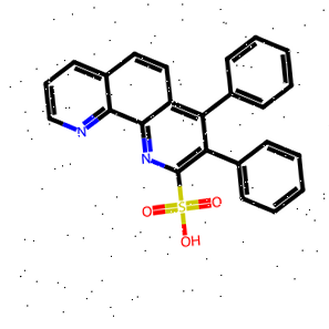 O=S(=O)(O)c1nc2c(ccc3cccnc32)c(-c2ccccc2)c1-c1ccccc1